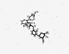 CC(C)N1CCN([C@H]2CCCC(F)(F)[C@@H]2NC(=O)Cc2nccc(-c3cc(F)cc(F)c3)c2F)CC1